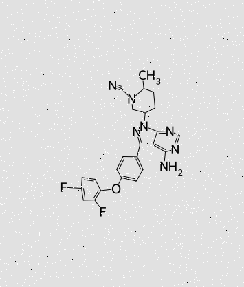 CC1CCC(n2nc(-c3ccc(Oc4ccc(F)cc4F)cc3)c3c(N)ncnc32)CN1C#N